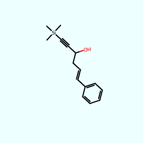 C[Si](C)(C)C#CC(O)C/C=C/c1ccccc1